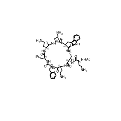 CC(=O)N[C@H](CCN)C(=O)N[C@H]1CCNC(=O)[C@H](Cc2c[nH]c3ccccc23)NC(=O)[C@H](CCN)NC(=O)[C@H](CCN)NC(=O)[C@H](CC(C)C)NC(=O)[C@@H](Cc2ccccc2)NC(=O)[C@H](CCN)NC1=O